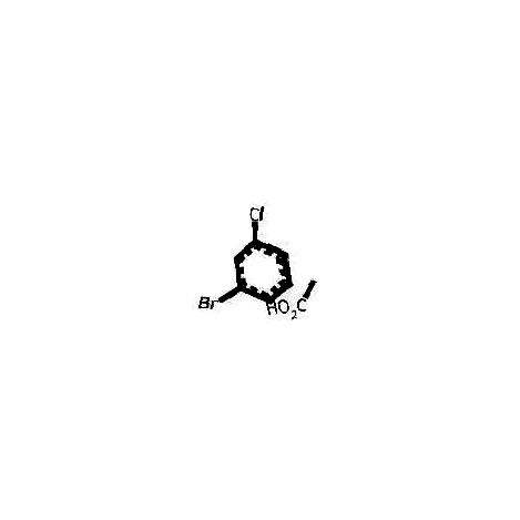 CC(=O)O.Clc1cccc(Br)c1